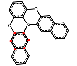 c1ccc([Si]23c4cc5ccccc5cc4Oc4cccc(c42)Oc2cc4ccccc4cc23)cc1